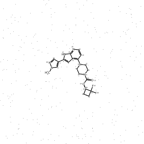 Cn1cc(-c2cc3c(N4CCN(C(=O)O[C@@H]5CCC5(F)F)CC4)ccnc3[nH]2)cn1